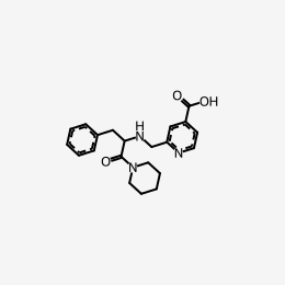 O=C(O)c1ccnc(CNC(Cc2ccccc2)C(=O)N2CCCCC2)c1